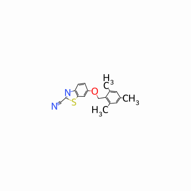 Cc1cc(C)c(COc2ccc3nc(C#N)sc3c2)c(C)c1